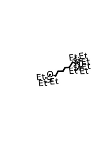 CC[Si](CC)(CC)OCCCCCCN([Si](CC)(CC)CC)[Si](CC)(CC)CC